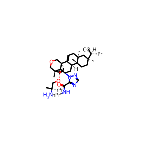 CCCNC(=O)c1ncnn1[C@@H]1C[C@@]23COC[C@](C)([C@@H]2CC[C@H]2C3=CC[C@@]3(C)[C@H](C(=O)O)[C@@](C)([C@H](C)C(C)C)CC[C@]23C)[C@H]1OC[C@](C)(N)C(C)C